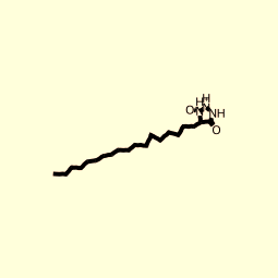 CCCCCCCCCCCCCCCCCCC1C(=O)NN[NH+]1[O-]